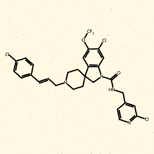 O=C(NCc1ccnc(Cl)c1)N1CC2(CCN(CC=Cc3ccc(Cl)cc3)CC2)c2cc(OC(F)(F)F)c(Cl)cc21